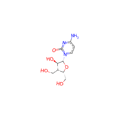 Nc1ccn([C@@H]2O[C@H](CO)C(CO)[C@H]2O)c(=O)n1